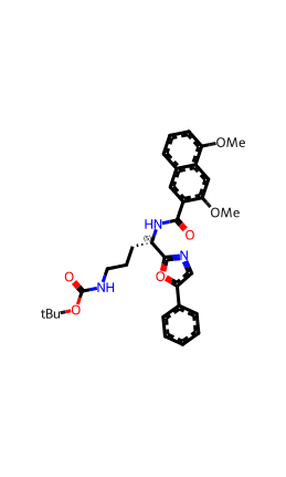 COc1cc2c(OC)cccc2cc1C(=O)N[C@@H](CCCNC(=O)OC(C)(C)C)c1ncc(-c2ccccc2)o1